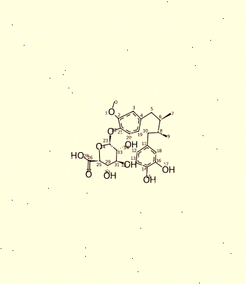 COc1cc(C[C@@H](C)[C@@H](C)Cc2ccc(O)c(O)c2)ccc1O[C@@H]1O[C@H](C(=O)O)[C@@H](O)[C@H](O)[C@H]1O